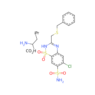 CC(C)CC(N)C(=O)O.NS(=O)(=O)c1cc2c(cc1Cl)N=C(CSCc1ccccc1)NS2(=O)=O